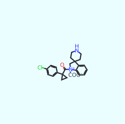 O=C([O-])[N+]1(C(=O)C2(c3ccc(Cl)cc3)CC2)CC2(CCNCC2)c2ccccc21